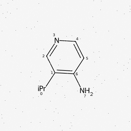 CC(C)c1cnccc1N